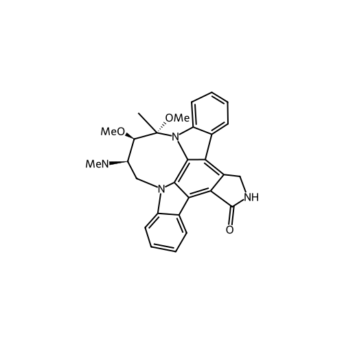 CN[C@@H]1Cn2c3ccccc3c3c4c(c5c6ccccc6n(c5c32)[C@@](C)(OC)[C@@H]1OC)CNC4=O